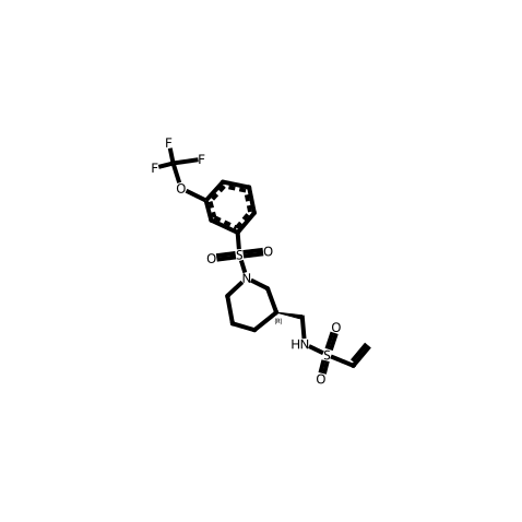 C=CS(=O)(=O)NC[C@H]1CCCN(S(=O)(=O)c2cccc(OC(F)(F)F)c2)C1